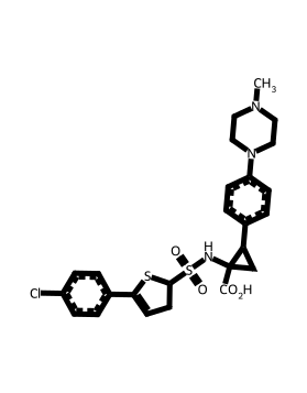 CN1CCN(c2ccc(C3CC3(NS(=O)(=O)C3CC=C(c4ccc(Cl)cc4)S3)C(=O)O)cc2)CC1